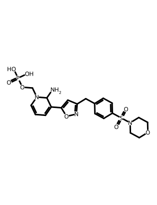 NC1C(c2cc(Cc3ccc(S(=O)(=O)N4CCOCC4)cc3)no2)=CC=CN1COP(=O)(O)O